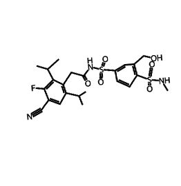 CNS(=O)(=O)c1ccc(S(=O)(=O)NC(=O)Cc2c(C(C)C)cc(C#N)c(F)c2C(C)C)cc1CO